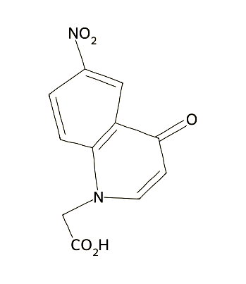 O=C(O)Cn1ccc(=O)c2cc([N+](=O)[O-])ccc21